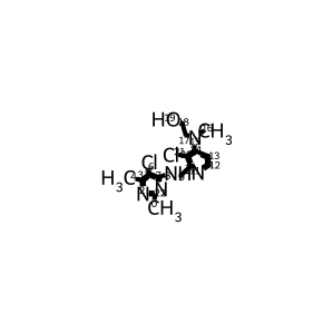 Cc1nc(C)c(Cl)c(NCc2nccc(N(C)CCO)c2Cl)n1